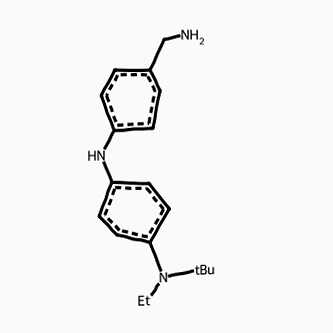 CCN(c1ccc(Nc2ccc(CN)cc2)cc1)C(C)(C)C